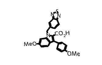 COc1ccc(-c2c(C(=O)O)n(Cc3ccc4nsnc4c3)c3cc(OC)ccc23)cc1